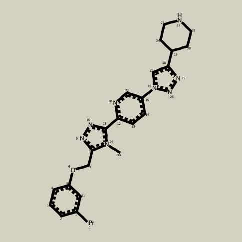 CC(C)c1cccc(OCc2nnc(-c3ccc(-n4cc(C5CCNCC5)nn4)cn3)n2C)c1